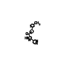 Cc1csc(C2CCN(C(=O)c3cc(-c4ccnnc4)n[nH]3)C2)c1